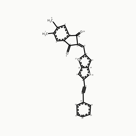 Cc1cc2c(cc1C)C(=O)C(=Cc1cc3sc(C#Cc4ccccc4)cc3o1)C2=O